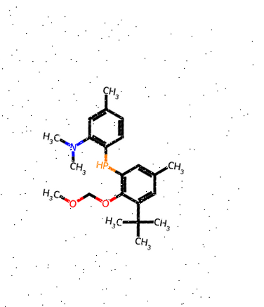 COCOc1c(Pc2ccc(C)cc2N(C)C)cc(C)cc1C(C)(C)C